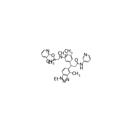 CC[C@H](CN(C)c1cc(C(CC(=O)Nc2cccnc2)c2ccc3c(nnn3CC)c2C)ccc1C)Oc1ncccc1C